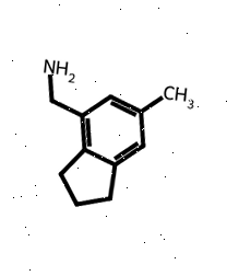 Cc1cc(CN)c2c(c1)CCC2